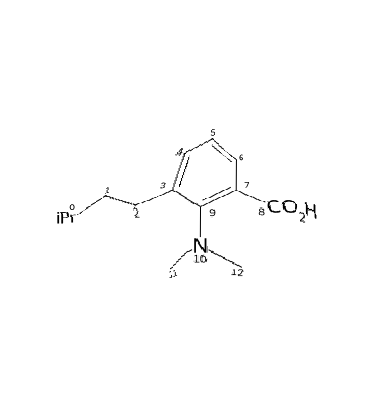 CC(C)CCc1cccc(C(=O)O)c1N(C)C